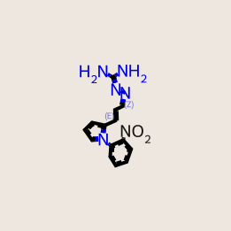 NC(N)=N/N=C\C=C\c1cccn1-c1ccccc1[N+](=O)[O-]